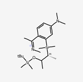 C/N=C(/C)c1ccc(N(C)C)cc1[Si](C)(C)[C@H](C)C(C)O[Si](C)(C)C(C)(C)C